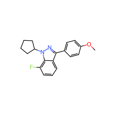 COc1ccc(-c2nn(C3CCCC3)c3c(F)cccc23)cc1